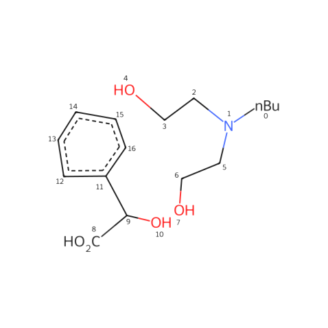 CCCCN(CCO)CCO.O=C(O)C(O)c1ccccc1